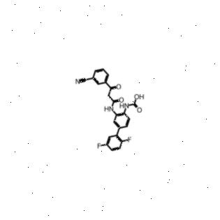 N#Cc1cccc(C(=O)CC(=O)Nc2cc(-c3cc(F)ccc3F)ccc2NC(=O)O)c1